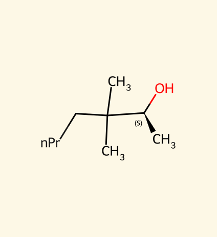 CCCCC(C)(C)[C@H](C)O